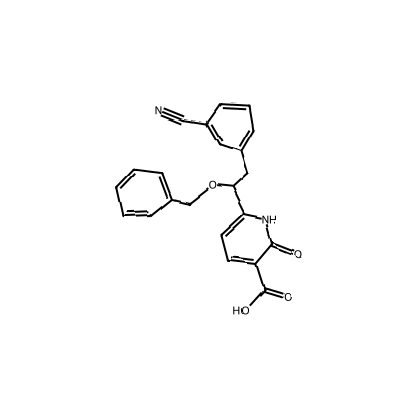 N#Cc1cccc(CC(OCc2ccccc2)c2ccc(C(=O)O)c(=O)[nH]2)c1